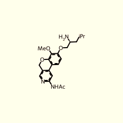 COc1c(OC[C@@H](N)CC(C)C)ccc2c1OCc1cnc(NC(C)=O)cc1-2